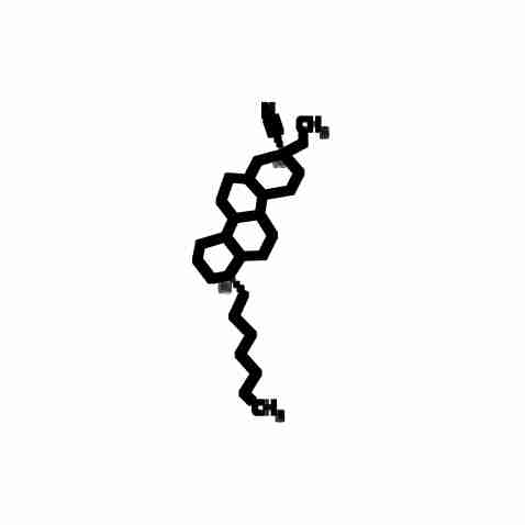 CCCCCCC[C@@H]1CCCC2C3CCC4C[C@@](C#N)(CC)CCC4C3CCC21